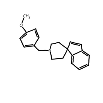 COc1ccc(CN2CCC3(C=Cc4ccccc43)CC2)cc1